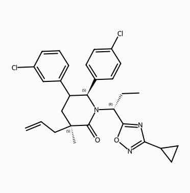 C=CC[C@@]1(C)CC(c2cccc(Cl)c2)[C@@H](c2ccc(Cl)cc2)N([C@H](CC)c2nc(C3CC3)no2)C1=O